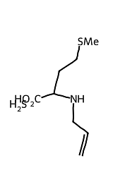 C=CCNC(CCSC)C(=O)O.S